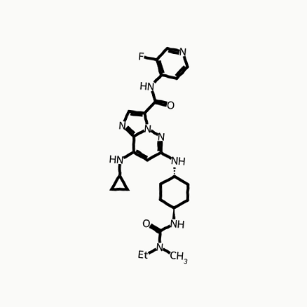 CCN(C)C(=O)N[C@H]1CC[C@H](Nc2cc(NC3CC3)c3ncc(C(=O)Nc4ccncc4F)n3n2)CC1